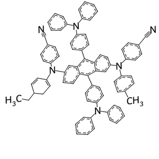 CCC1C=CC(N(c2ccc(C#N)cc2)c2ccc3c(-c4ccc(N(c5ccccc5)c5ccccc5)cc4)c4cc(N(c5ccc(C)cc5)c5ccc(C#N)cc5)ccc4c(-c4ccc(N(c5ccccc5)c5ccccc5)cc4)c3c2)=CC1